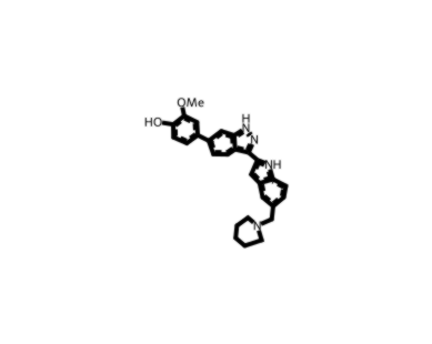 COc1cc(-c2ccc3c(-c4cc5cc(CN6CCCCC6)ccc5[nH]4)n[nH]c3c2)ccc1O